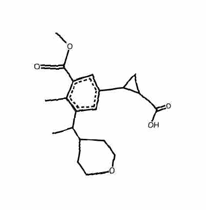 COC(=O)c1cc(C2CC2C(=O)O)cc(C(C)C2CCOCC2)c1C